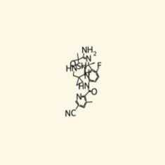 Cc1cc(C#N)cnc1C(=O)Nc1ccc(F)c([C@@]2(C)N=C(N)C(C)(C)[SH]3(=O)NCC4(CC4)C[C@@H]23)n1